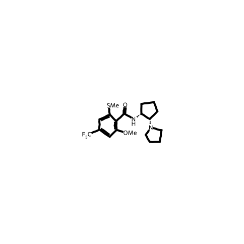 COc1cc(C(F)(F)F)cc(SC)c1C(=O)N[C@@H]1CCC[C@@H]1N1CCCC1